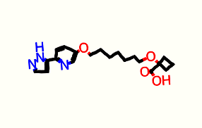 O=C(O)C1(OCCCCCCCOc2ccc(-c3ccn[nH]3)nc2)CCC1